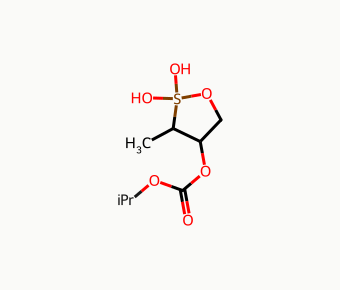 CC(C)OC(=O)OC1COS(O)(O)C1C